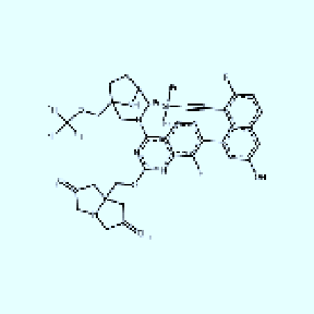 [2H]C([2H])([2H])OCC12CCC(CN(c3nc(OCC45CC(=C)CN4CC(=C)C5)nc4c(F)c(-c5cc(O)cc6ccc(F)c(C#C[Si](C(C)C)(C(C)C)C(C)C)c56)ncc34)C1)N2